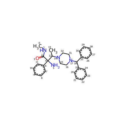 CNC(=O)C(N)(c1ccccc1)C(C)N1CCN(C(c2ccccc2)c2ccccc2)CC1